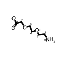 NCCOCCOCC([O])=O